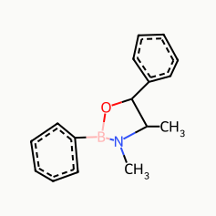 CC1C(c2ccccc2)OB(c2ccccc2)N1C